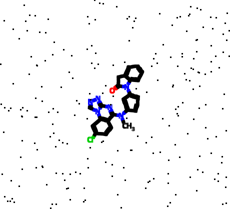 CN(c1cccc(N2C(=O)Cc3ccccc32)c1)c1nc2nncn2c2cc(Cl)ccc12